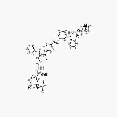 O=C(NC(c1ccccc1)c1cccc(OCc2ccc(C(=O)N(CCCNC[C@@H](O)c3ccc(O)c4[nH]c(=O)ccc34)CC3CCCCC3)cc2)c1)O[C@H]1CN2CCC1CC2